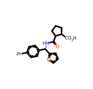 CC(C)c1ccc([C@H](NC(=O)C2CCCC2C(=O)O)c2cccs2)cc1